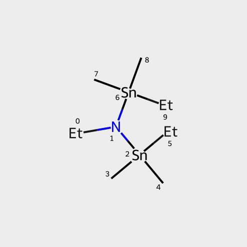 CC[N]([Sn]([CH3])([CH3])[CH2]C)[Sn]([CH3])([CH3])[CH2]C